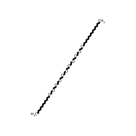 CCCCCCCCCCCCCCCCOCCOCCOCCOCCOCCOCCOCCOCCOCCOCCOCCCCCCCCCCCC